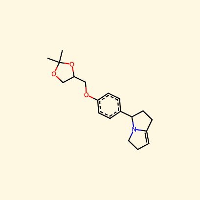 CC1(C)OCC(COc2ccc(C3CCC4=CCCN43)cc2)O1